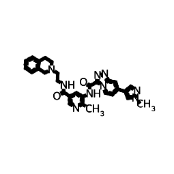 Cc1ncc(C(=O)NCCN2CCc3ccccc3C2)cc1NC(=O)c1nnc2cc(-c3cnn(C)c3)ccn12